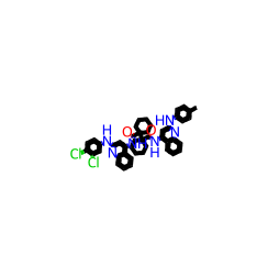 Cc1ccc(Nc2cc(NC(=O)C3(C4(C(=O)Nc5cc(Nc6ccc(Cl)c(Cl)c6)nc6ccccc56)CCCCC4)CCCCC3)c3ccccc3n2)cc1